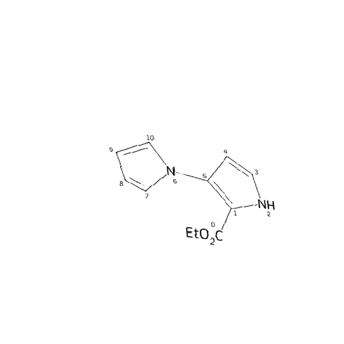 CCOC(=O)c1[nH]ccc1-n1cccc1